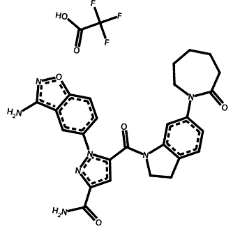 NC(=O)c1cc(C(=O)N2CCc3ccc(N4CCCCCC4=O)cc32)n(-c2ccc3onc(N)c3c2)n1.O=C(O)C(F)(F)F